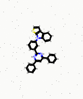 C1=Cc2c(c3ccsc3n2-c2cccc(-c3nc(-c4ccccc4)cc(-c4ccccc4)n3)c2)CC1